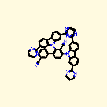 N#Cc1cccc(-c2ccc(-n3c4cc(-c5ncccn5)ccc4c4ccc(-c5ncccn5)cc43)c(C#N)c2-n2c3cc(-c4ncccn4)ccc3c3ccc(-c4ncccn4)cc32)c1